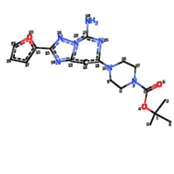 CC(C)(C)OC(=O)N1CCN(c2cc3nc(-c4ccco4)nn3c(N)n2)CC1